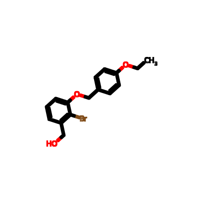 CCOc1ccc(COc2cccc(CO)c2Br)cc1